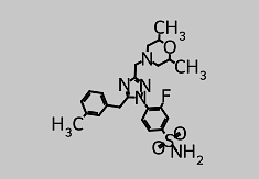 Cc1cccc(Cc2nc(CN3CC(C)OC(C)C3)nn2-c2ccc(S(N)(=O)=O)cc2F)c1